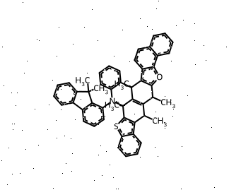 CC1C2=C3C(C)(c4ccccc4N(c4cccc5c4C(C)(C)c4ccccc4-5)C3(C)c3sc4ccccc4c3C2C)c2c1oc1c2ccc2ccccc21